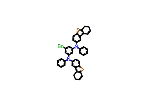 Brc1cc(N(c2ccccc2)c2ccc3sc4c(c3c2)C=CCC4)cc(N(c2ccccc2)c2ccc3sc4c(c3c2)CCC=C4)c1